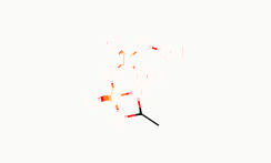 CC1OP(=O)(OP(=O)(O)OO)O1